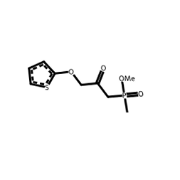 COP(C)(=O)CC(=O)COc1cccs1